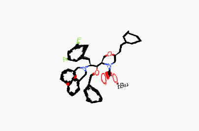 CC(C)(C)OC(=O)N1C[C@H](CCC2CCCCC2)OC[C@@H]1[C@@H](OCc1ccccc1)[C@H](Cc1cc(F)cc(F)c1)N(Cc1ccccc1)Cc1ccccc1